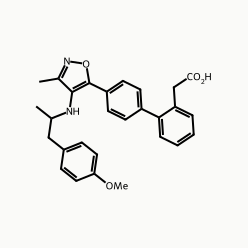 COc1ccc(CC(C)Nc2c(C)noc2-c2ccc(-c3ccccc3CC(=O)O)cc2)cc1